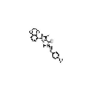 COc1ccc(/C=N/NC(=O)c2sc(-c3cccc4c3OCCO4)nc2C)cc1